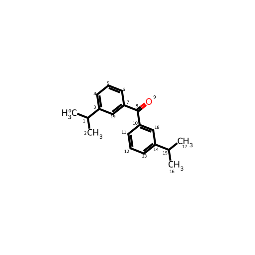 CC(C)c1cccc(C(=O)c2cccc(C(C)C)c2)c1